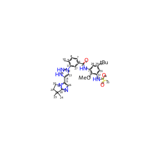 COc1c(NC(=O)c2ccc(C)c(N3C=C(c4cnc5n4CCC5(C)C)NN3)c2)cc(C(C)(C)C)cc1NS(C)(=O)=O